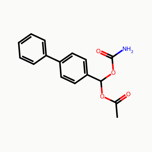 CC(=O)OC(OC(N)=O)c1ccc(-c2ccccc2)cc1